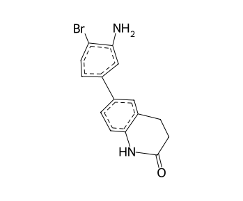 Nc1cc(-c2ccc3c(c2)CCC(=O)N3)ccc1Br